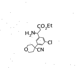 CCOC(=O)C[C@H](N)c1cc(Cl)cc(C2(C#N)CCOCC2)c1